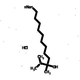 CCCCCCCCCCCCCCCCCCC(C)(O)N(C)C.Cl